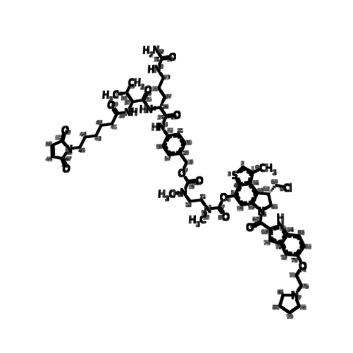 Cc1csc2c(OC(=O)N(C)CCN(C)C(=O)OCc3ccc(NC(=O)[C@H](CCCNC(N)=O)NC(=O)C(NC(=O)CCCCCN4C(=O)C=CC4=O)C(C)C)cc3)cc3c(c12)[C@H](CCl)CN3C(=O)c1cc2cc(OCCN3CCCC3)ccc2[nH]1